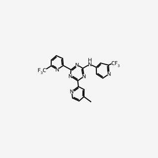 Cc1ccnc(-c2nc(Nc3ccnc(C(F)(F)F)c3)nc(-c3cccc(C(F)(F)F)n3)n2)c1